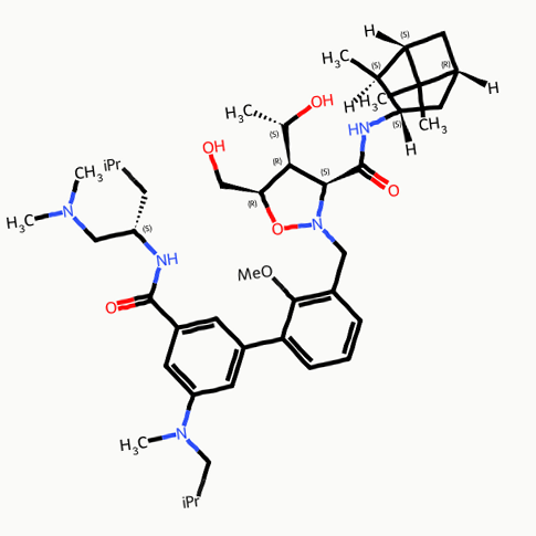 COc1c(CN2O[C@@H](CO)[C@@H]([C@H](C)O)[C@H]2C(=O)N[C@H]2C[C@H]3C[C@@H]([C@@H]2C)C3(C)C)cccc1-c1cc(C(=O)N[C@@H](CC(C)C)CN(C)C)cc(N(C)CC(C)C)c1